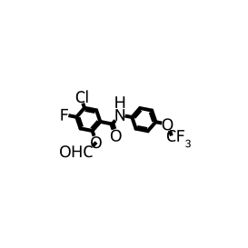 O=COc1cc(F)c(Cl)cc1C(=O)Nc1ccc(OC(F)(F)F)cc1